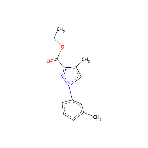 CCOC(=O)c1nn(-c2cccc(C)c2)cc1C